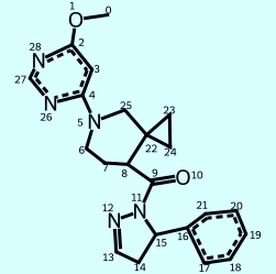 COc1cc(N2CCC(C(=O)N3N=CCC3c3ccccc3)C3(CC3)C2)ncn1